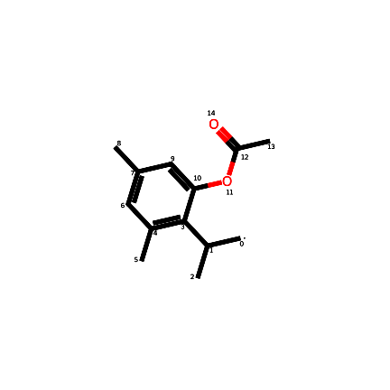 [CH2]C(C)c1c(C)cc(C)cc1OC(C)=O